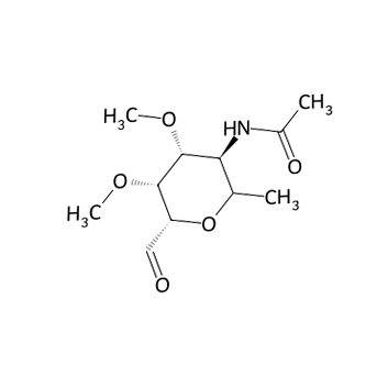 CO[C@@H]1[C@H](OC)[C@@H](NC(C)=O)C(C)O[C@@H]1C=O